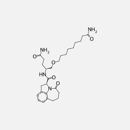 NC(=O)CCCCCCCCOC[C@H](CCC(N)=O)NC(=O)[C@@H]1Cc2cccc3c2N1C(=O)CCC3